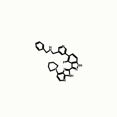 Fc1c(-c2cncc(CNCc3ccccc3)c2)ccc2[nH]nc(-c3nc4c(N5CCCCC5)ccnc4[nH]3)c12